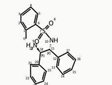 Cc1ccccc1S(=O)(=O)N[C@H](c1ccccc1)[C@H](N)c1ccccc1